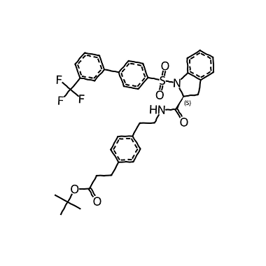 CC(C)(C)OC(=O)CCc1ccc(CCNC(=O)[C@@H]2Cc3ccccc3N2S(=O)(=O)c2ccc(-c3cccc(C(F)(F)F)c3)cc2)cc1